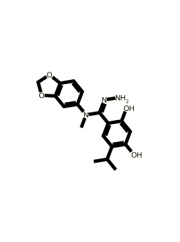 CC(C)c1cc(C(=NN)N(C)c2ccc3c(c2)OCO3)c(O)cc1O